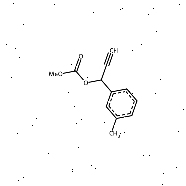 C#CC(OC(=O)OC)c1cccc(C)c1